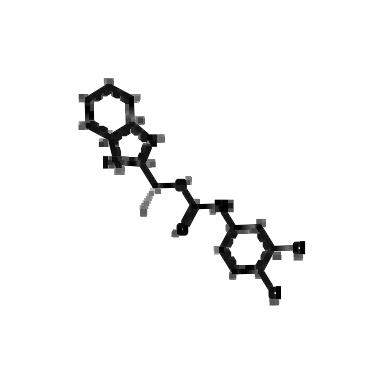 C[C@@H](OC(=O)Nc1ccc(Cl)c(Cl)c1)c1nc2ccccc2[nH]1